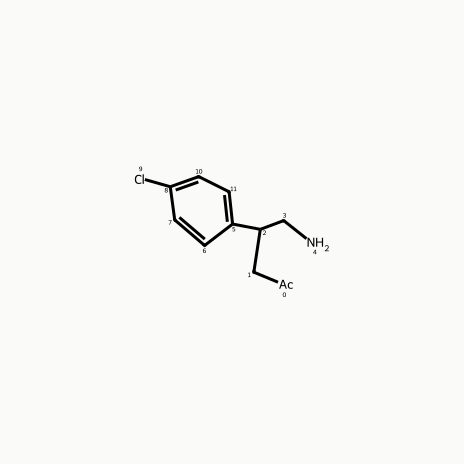 CC(=O)CC(CN)c1ccc(Cl)cc1